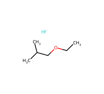 CCOCC(C)C.F